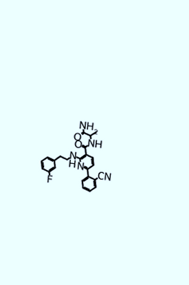 CC(NC(=O)c1ccc(-c2ccccc2C#N)nc1NCCc1cccc(F)c1)C(N)=O